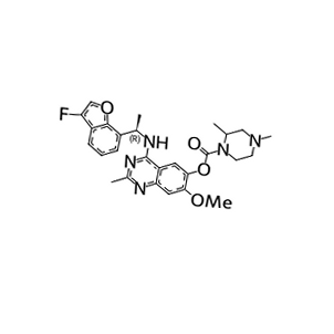 COc1cc2nc(C)nc(N[C@H](C)c3cccc4c(F)coc34)c2cc1OC(=O)N1CCN(C)CC1C